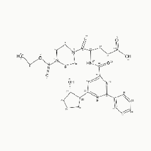 CCOC(=O)N1CCN(C(=O)C(CCC(=O)O)NC(=O)c2cc(C3CCC[C@@H]3O)nc(-c3ccccc3)n2)CC1